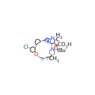 Cc1nc2cc3nn2c(c1[C@H](OC(C)(C)C)C(=O)O)N1CCC(C)(/C=C/C=C\COc2ccc(Cl)cc2-c2cccc-3c2)CC1